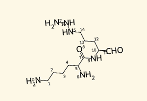 NCCCCC(N)C(=O)N[C@H](C=O)CCCNNN